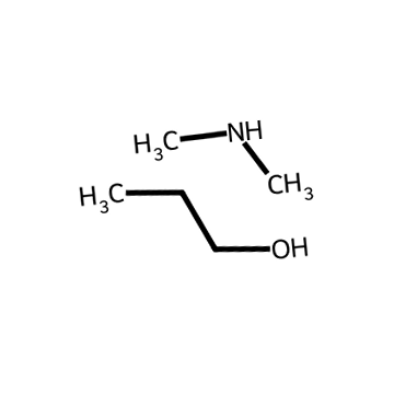 CCCO.CNC